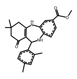 COC(=O)c1ccc2c(c1)NC1=C(C(=O)CC(C)(C)C1)C(c1ccc(C)cc1C)N2